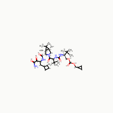 CC(C)(C)[C@H](NC(=O)N[C@H](COC(=O)OCC1CC1)C(C)(C)C)C(=O)N1C[C@H]2[C@@H]([C@H]1C(=O)NC(CC1CCC1)C(=O)C(N)=O)C2(C)C